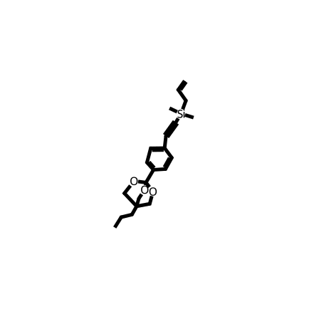 C=CC[Si](C)(C)C#Cc1ccc(C23OCC(CCC)(CO2)CO3)cc1